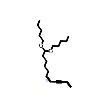 [CH]=CC#C/C=C\CCCCC(OCCCCC)OCCCCC